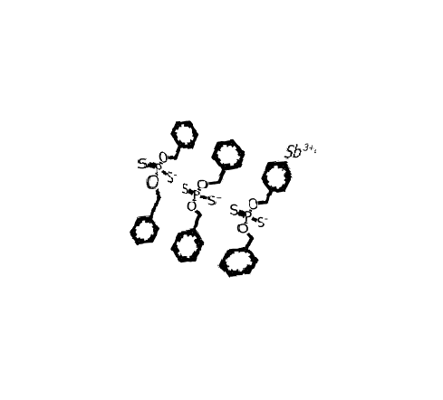 S=P([S-])(OCc1ccccc1)OCc1ccccc1.S=P([S-])(OCc1ccccc1)OCc1ccccc1.S=P([S-])(OCc1ccccc1)OCc1ccccc1.[Sb+3]